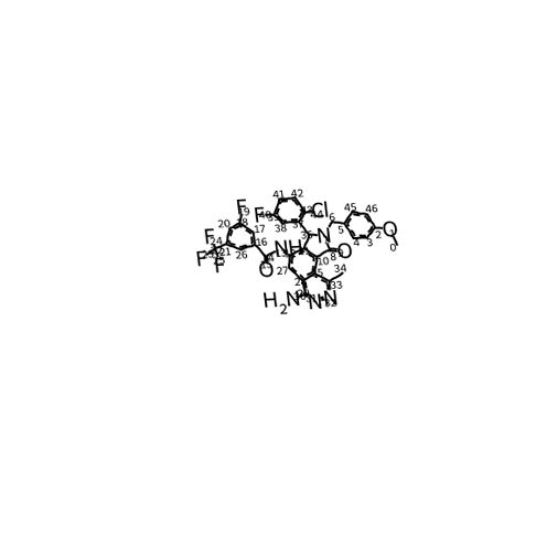 COc1ccc(CN2C(=O)c3c(c(NC(=O)c4cc(F)cc(C(F)(F)F)c4)cc4c(N)nnc(C)c34)C2c2cc(F)ccc2Cl)cc1